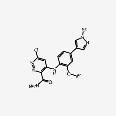 CCn1cc(-c2ccc(Nc3cc(Cl)nnc3C(=O)NC)c(OC(C)C)c2)cn1